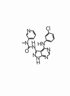 CN(C(=O)Nc1n[nH]c2ncnc(Nc3cccc(Cl)c3)c12)c1cccnc1